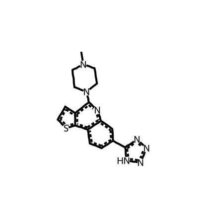 CN1CCN(c2nc3cc(-c4nnn[nH]4)ccc3c3sccc23)CC1